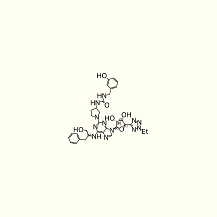 CCn1nnc([C@H]2O[C@@H](n3cnc4c(N[C@H](CO)Cc5ccccc5)nc(N5CCC(NC(=O)NCc6cccc(O)c6)C5)nc43)[C@H](O)[C@@H]2O)n1